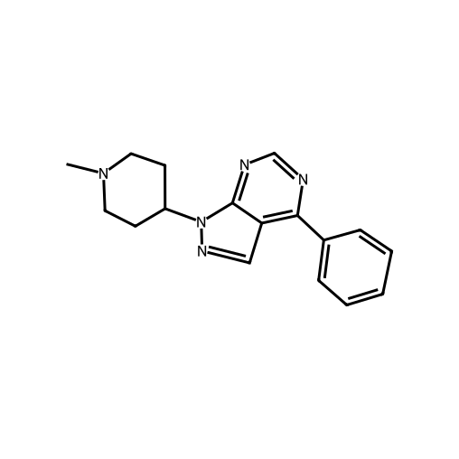 CN1CCC(n2ncc3c(-c4ccccc4)ncnc32)CC1